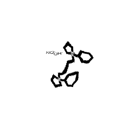 C1CCC([N+]2(CCCC[N+]3(C4CCCCC4)CCCC3)CCCC2)CC1.[OH-].[OH-]